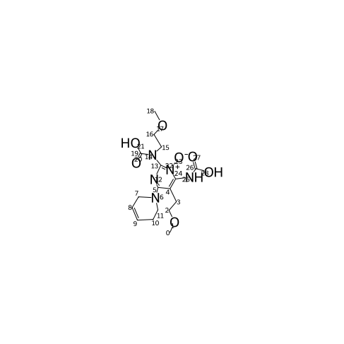 COCCc1c(N2CC=CCC2)nc(N(CCOC)C(=O)O)[n+]([O-])c1NC(=O)O